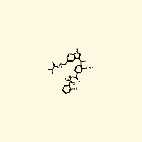 COc1cc(C(=O)NS(=O)(=O)c2ccccc2Cl)ccc1C(C)c1c[nH]c2ccc(CCNC(=O)N(C)C)cc12